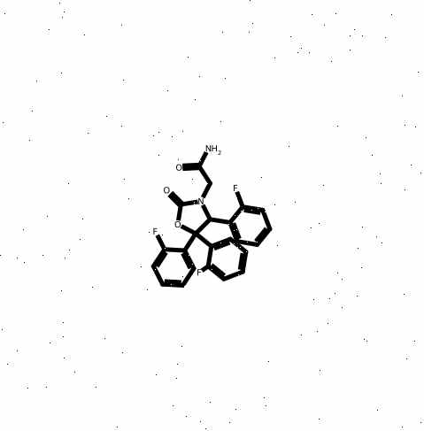 NC(=O)CN1C(=O)OC(c2ccccc2F)(c2ccccc2F)C1c1ccccc1F